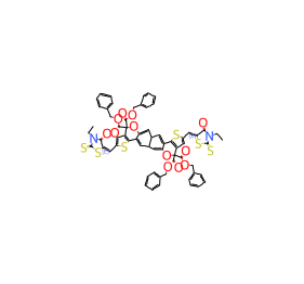 CCN1C(=O)/C(=C/c2cc3c(s2)C2=CC4C=C5OC(C(=O)OCc6ccccc6)(C(=O)OCc6ccccc6)c6cc(/C=C7/SC(=S)N(CC)C7=O)sc6C5=CC4C=C2OC3(C(=O)OCc2ccccc2)C(=O)OCc2ccccc2)SC1=S